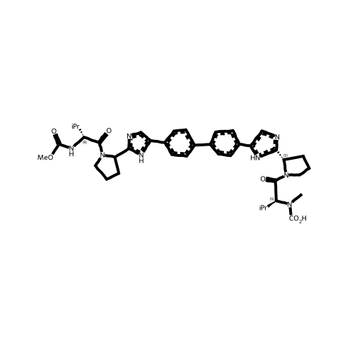 COC(=O)N[C@@H](C(=O)N1CCCC1c1ncc(-c2ccc(-c3ccc(-c4cnc([C@@H]5CCCN5C(=O)[C@H](C(C)C)N(C)C(=O)O)[nH]4)cc3)cc2)[nH]1)C(C)C